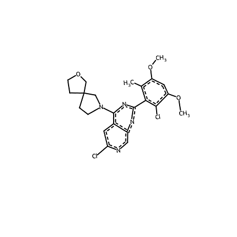 COc1cc(OC)c(Cl)c(-c2nc(N3CCC4(CCOC4)C3)c3cc(Cl)ncc3n2)c1C